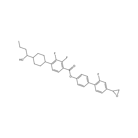 CCCC(O)C1CCC(c2ccc(C(=O)Oc3ccc(-c4ccc(C5CO5)cc4F)cc3)c(F)c2F)CC1